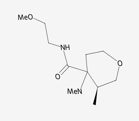 CNC1(C(=O)NCCOC)CCOC[C@H]1C